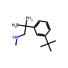 BC(P)(CNC)c1cccc(C(C)(C)C)c1